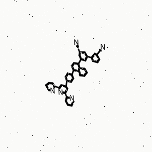 N#Cc1cccc(-c2cc(C#N)cc(-c3ccc(-c4ccc(-c5cc(-c6ccccn6)nc(-c6ccccn6)c5)cc4)c4ccccc34)c2)c1